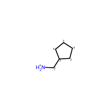 N[C]C1CCCC1